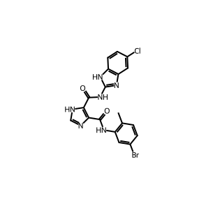 Cc1ccc(Br)cc1NC(=O)c1nc[nH]c1C(=O)Nc1nc2cc(Cl)ccc2[nH]1